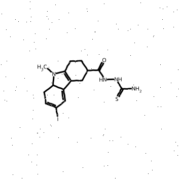 CN1C2=C(CC(C(=O)NNC(N)=S)CC2)C2=CC(I)=CCC21